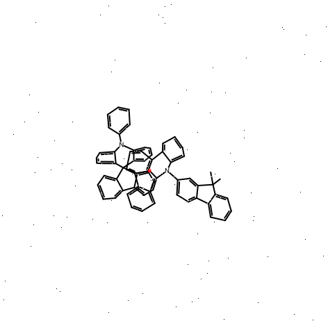 CC1(C)c2ccccc2-c2ccc(N(c3ccc4c(c3)C3(c5ccccc5-4)c4ccccc4N(c4ccccc4)c4ccccc43)c3ccccc3-c3cccc4c3sc3ccccc34)cc21